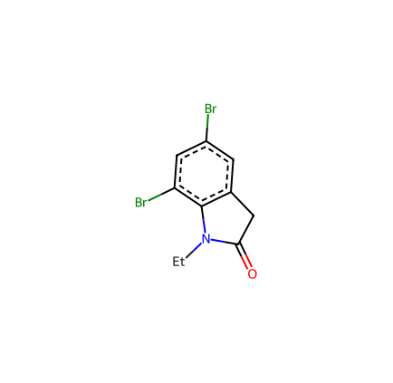 CCN1C(=O)Cc2cc(Br)cc(Br)c21